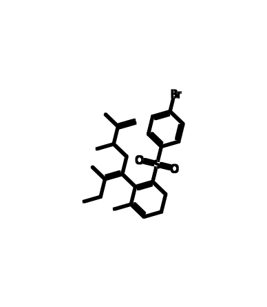 C=C(C)C(C)C/C(C1=C(S(=O)(=O)c2ccc(Br)cc2)CCC=C1C)=C(\C)CC